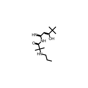 CCCNC(C)(C)C(=O)NC(=N)/C=C(\O)C(C)(C)C